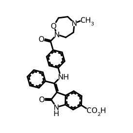 CN1CCON(C(=O)c2ccc(N/C(=C3/C(=O)Nc4cc(C(=O)O)ccc43)c3ccccc3)cc2)CC1